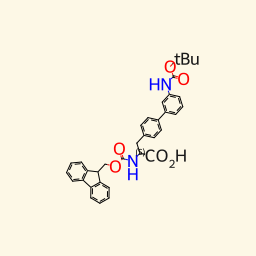 CC(C)(C)OC(=O)Nc1cccc(-c2ccc(C[C@H](NC(=O)OCC3c4ccccc4-c4ccccc43)C(=O)O)cc2)c1